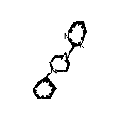 c1ccc(N2CCN(c3ncccn3)CC2)cc1